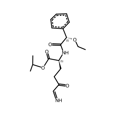 CCO[C@H](C(=O)N[C@@H](CCC(=O)C=N)C(=O)OC(C)C)c1ccccc1